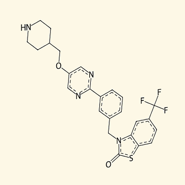 O=c1sc2ccc(C(F)(F)F)cc2n1Cc1cccc(-c2ncc(OCC3CCNCC3)cn2)c1